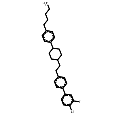 CCCCCc1ccc(C2CCC(CCc3ccc(-c4ccc(Cl)c(F)c4)cc3)CC2)cc1